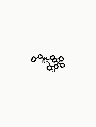 N=C(/N=C(\N=C\c1cccc2oc3ccc(C4(c5ccccc5)c5ccccc5-c5ccccc54)cc3c12)c1ccccc1)c1cccc(-c2ccccc2)c1